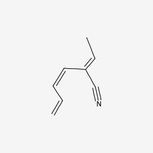 C=C/C=C\C(C#N)=C/C